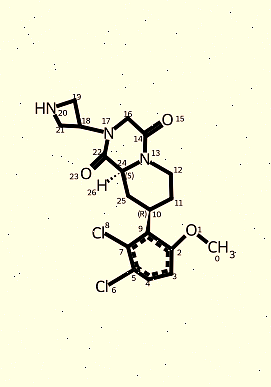 COc1ccc(Cl)c(Cl)c1[C@@H]1CCN2C(=O)CN(C3CNC3)C(=O)[C@@H]2C1